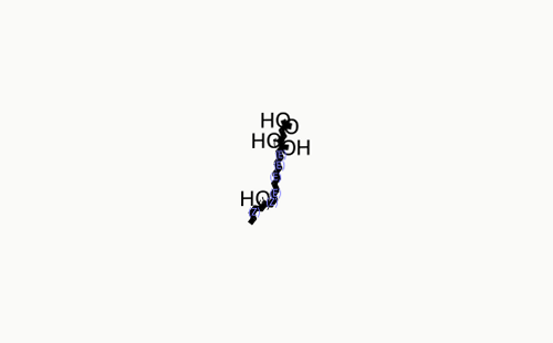 CC/C=C\C[C@H](O)/C=C\C=C\C/C=C/C=C/C=C/C(O)[C@@H](O)CCC(=O)O